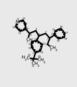 CCC(CC(CC(C)c1ccncc1)c1ccc(C(C)(C)C)cc1)c1ccccc1